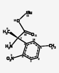 Cc1ccc([N+](=O)[O-])c([C@](C)(N)C(=O)OC(C)(C)C)c1